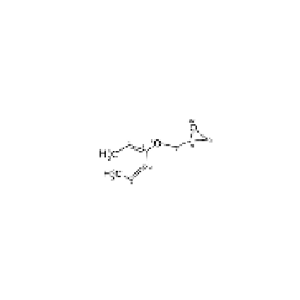 C/C=C\C(=C/C)OCC1CO1